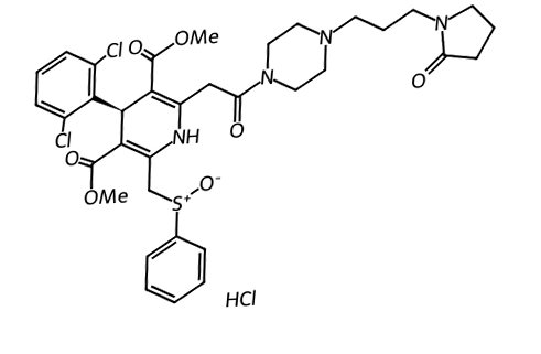 COC(=O)C1=C(CC(=O)N2CCN(CCCN3CCCC3=O)CC2)NC(C[S+]([O-])c2ccccc2)=C(C(=O)OC)[C@H]1c1c(Cl)cccc1Cl.Cl